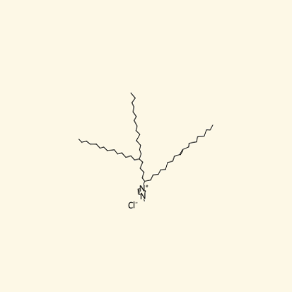 CCCCCCCCC=CCCCCCCCCC(CCCCC(CCCCCCCCCCCCCC)CCCCCCCCCCCCCC)[n+]1ccn(C)c1.[Cl-]